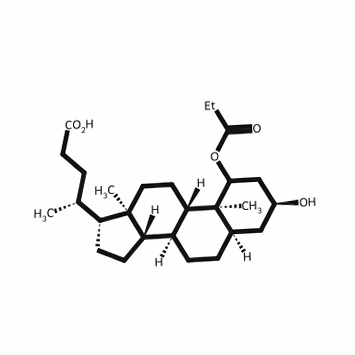 CCC(=O)OC1C[C@@H](O)C[C@H]2CC[C@H]3[C@@H]4CC[C@H]([C@H](C)CCC(=O)O)[C@@]4(C)CC[C@@H]3[C@@]12C